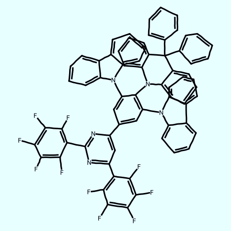 Fc1c(F)c(F)c(-c2cc(-c3cc(-n4c5ccccc5c5ccccc54)c(N4c5ccccc5C(c5ccccc5)(c5ccccc5)c5ccccc54)c(-n4c5ccccc5c5ccccc54)c3)nc(-c3c(F)c(F)c(F)c(F)c3F)n2)c(F)c1F